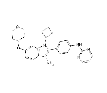 Nc1c(-c2ccc(Nc3ncccn3)cc2)n(C2CCC2)c2cc(OC3CCOCC3)ccc12